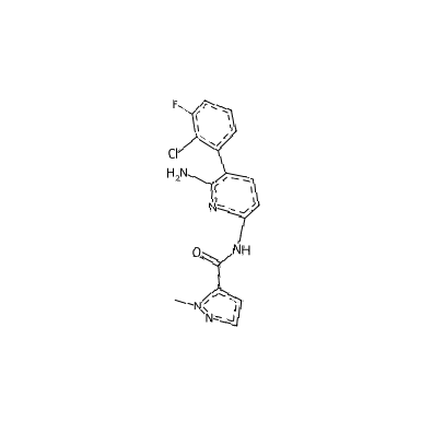 Cn1nccc1C(=O)Nc1ccc(-c2cccc(F)c2Cl)c(N)n1